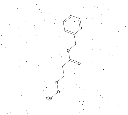 CC(C)(C)ONCCC(=O)OCc1ccccc1